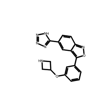 c1cc(OC2CNC2)cc(-c2onc3ccc(-c4nnn[nH]4)cc23)c1